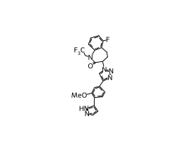 COc1cc(-c2cn(C3CCc4c(F)cccc4N(CC(F)(F)F)C3=O)nn2)ccc1-c1ccn[nH]1